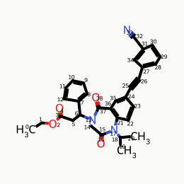 CCOC(=O)CC(c1ccccc1)N1CC(=O)N(C(C)C)c2ccc(C#Cc3cccc(C#N)c3)cc2C1=O